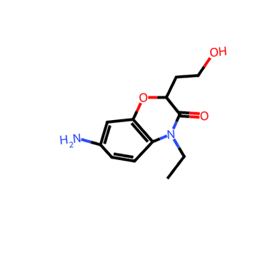 CCN1C(=O)C(CCO)Oc2cc(N)ccc21